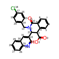 O=C(O)C1c2ccccc2C(=O)N(Cc2ccc(Cl)cc2)C1c1cnc2ccccc2c1